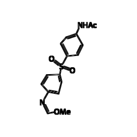 CO/C=N\c1ccc(S(=O)(=O)c2ccc(NC(C)=O)cc2)cc1